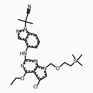 CCOc1nc(Nc2cccc3c2cnn3C(C)(C)C#N)nc2c1c(Cl)cn2COCC[Si](C)(C)C